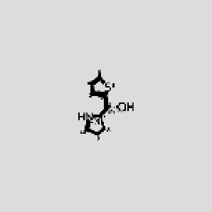 O[C@@H](c1cccs1)[C@H]1CCCN1